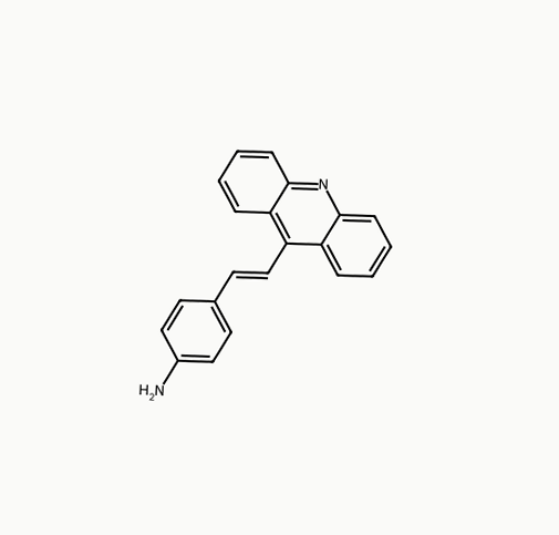 Nc1ccc(C=Cc2c3ccccc3nc3ccccc23)cc1